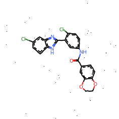 O=C(Nc1ccc(Cl)c(-c2nc3cc(Cl)ccc3[nH]2)c1)c1ccc2c(c1)OCCO2